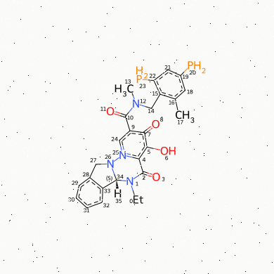 CCN1C(=O)c2c(O)c(=O)c(C(=O)N(C)Cc3c(C)cc(P)cc3P)cn2N2Cc3ccccc3[C@@H]12